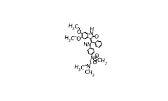 CCOc1cc2c(cc1OCC)C(=C(Nc1ccc(N(CCN(CC)CC)S(C)(=O)=O)cc1)c1ccccc1)C(=O)N2